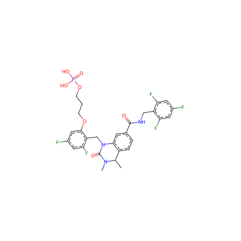 CC1c2ccc(C(=O)NCc3c(F)cc(F)cc3F)cc2N(Cc2c(F)cc(F)cc2OCCCOP(=O)(O)O)C(=O)N1C